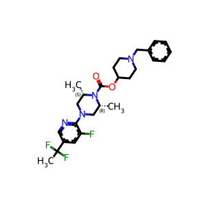 C[C@@H]1CN(c2ncc(C(C)(F)F)cc2F)C[C@H](C)N1C(=O)OC1CCN(Cc2ccccc2)CC1